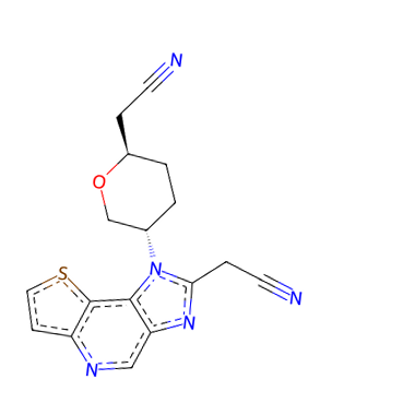 N#CCc1nc2cnc3ccsc3c2n1[C@H]1CC[C@H](CC#N)OC1